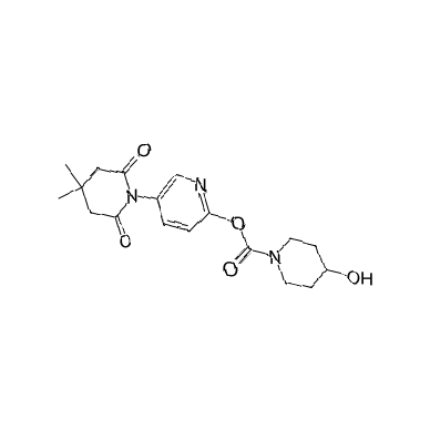 CC1(C)CC(=O)N(c2ccc(OC(=O)N3CCC(O)CC3)nc2)C(=O)C1